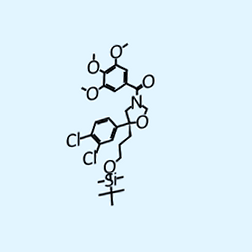 COc1cc(C(=O)N2CO[C@](CCCO[Si](C)(C)C(C)(C)C)(c3ccc(Cl)c(Cl)c3)C2)cc(OC)c1OC